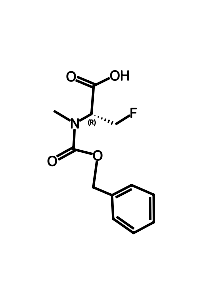 CN(C(=O)OCc1ccccc1)[C@@H](CF)C(=O)O